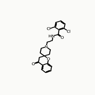 O=C1CC2(CCN(CCNC(=O)c3c(Cl)cccc3Cl)CC2)Oc2ccccc21